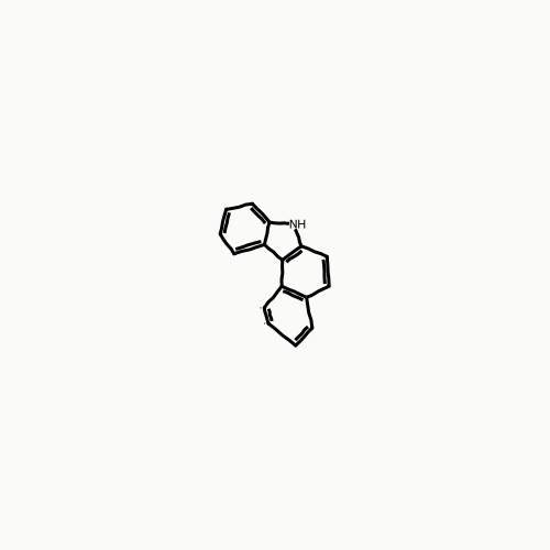 [c]1[c]c2c(cc1)ccc1[nH]c3ccccc3c12